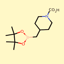 CC1(C)OB(CC2CCN(C(=O)O)CC2)OC1(C)C